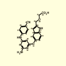 N#Cc1ccc(Nc2nc(N)nc(Oc3ccc4[nH]c(COCC(=O)O)cc4c3)n2)cc1